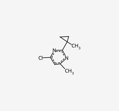 Cc1cc(Cl)nc(C2(C)CC2)n1